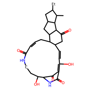 CCC1CC2CC3C4C/C=C\C(=O)NCCC(O)C5NC(=O)/C(=C(O)/C=C/C4CC(=O)C3C2C1C)C5=O